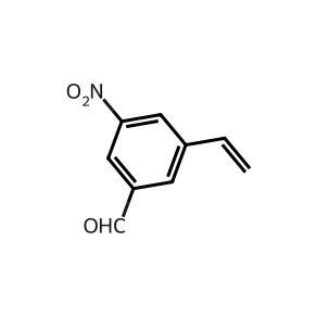 C=Cc1cc(C=O)cc([N+](=O)[O-])c1